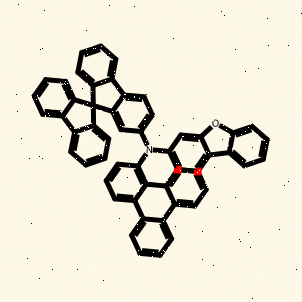 c1ccc2c(c1)-c1ccccc1C21c2ccccc2-c2ccc(N(c3ccc4c(c3)oc3ccccc34)c3cccc4c5ccccc5c5ccccc5c34)cc21